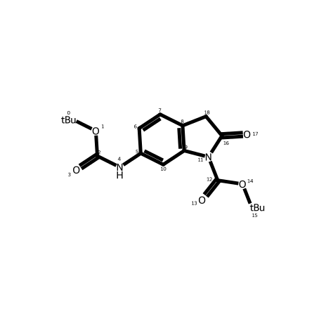 CC(C)(C)OC(=O)Nc1ccc2c(c1)N(C(=O)OC(C)(C)C)C(=O)C2